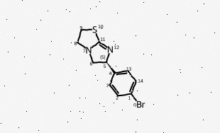 Brc1ccc([C@H]2CN3CCSC3=N2)cc1